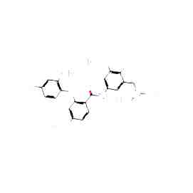 Cc1cc(F)ccc1Oc1cc(C(F)(F)F)ccc1C(=O)Nc1cc(CN(C)C)c(F)c(C(=O)O)c1